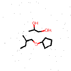 CC(O)CO.CCC(C)COC1CCCC1